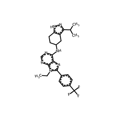 CCn1c(-c2ccc(C(F)(F)F)cc2)nc2c(NC3CCc4[nH]nc(C(C)C)c4C3)ncnc21